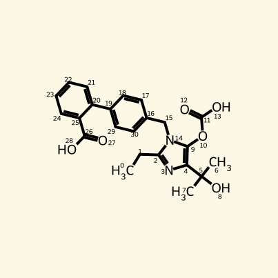 CCc1nc(C(C)(C)O)c(OC(=O)O)n1Cc1ccc(-c2ccccc2C(=O)O)cc1